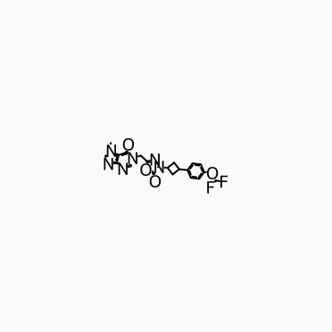 Cn1cnc2ncn(Cc3nn(C4CC(c5ccc(OC(F)F)cc5)C4)c(=O)o3)c(=O)c21